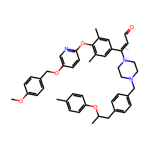 COc1ccc(COc2ccc(Oc3c(C)cc(/C(=C\C=O)N4CCN(Cc5ccc(CC(C)Oc6ccc(C)cc6)cc5)CC4)cc3C)nc2)cc1